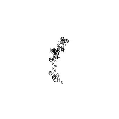 COC(=O)C(=O)CCCCCC(=O)NCS(=O)(=O)NNc1ccc([N+](=O)[O-])cn1